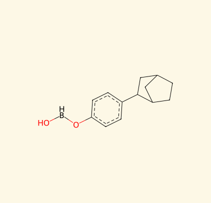 OBOc1ccc(C2CC3CCC2C3)cc1